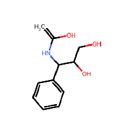 C=C(O)NC(c1ccccc1)C(O)CO